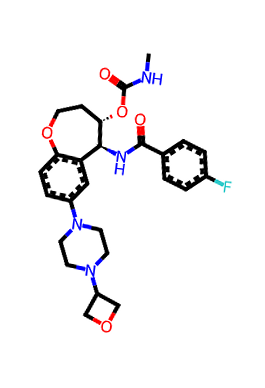 CNC(=O)O[C@H]1CCOc2ccc(N3CCN(C4COC4)CC3)cc2[C@@H]1NC(=O)c1ccc(F)cc1